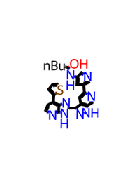 CCCCC(O)Nc1cncc(-c2cc3c(-c4nc5c(-c6cccs6)ccnc5[nH]4)n[nH]c3cn2)c1